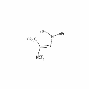 CCCN(/C=C(/NC(F)(F)F)C(=O)O)CCC